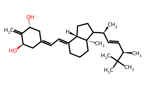 C=C1[C@H](O)CC(=C/C=C2\CCC[C@]3(C)C([C@@H](C)/C=C/[C@@H](C)C(C)(C)C)CC[C@@H]23)C[C@H]1O